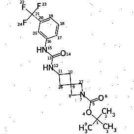 CC(C)(C)OC(=O)N1CC2(CC(NC(=O)Nc3cccc(C(F)(F)F)c3)C2)C1